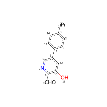 CC(C)c1ccc(-c2cnc(C=O)c(O)c2)cc1